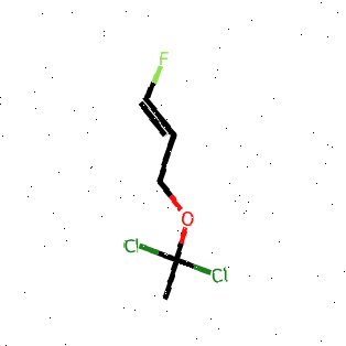 CC(Cl)(Cl)OCC=CF